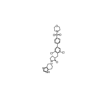 O=C1C(Cc2c(Cl)cc(-c3ccc(S(=O)(=O)N4CCOCC4)cc3)cc2Cl)CCN1[C@@H]1CCc2[nH]cnc2C1